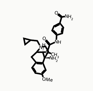 COc1ccc2c(c1)[C@@]1(N)CCN(CC3CC3)C(C2)[C@H]1N(C)C(=O)Nc1ccc(C(N)=O)cc1